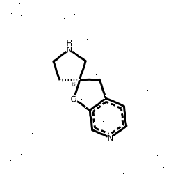 c1cc2c(cn1)O[C@]1(CCNC1)C2